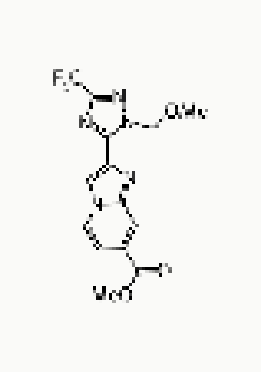 COCn1nc(C(F)(F)F)nc1-c1cn2ccc(C(=O)OC)cc2n1